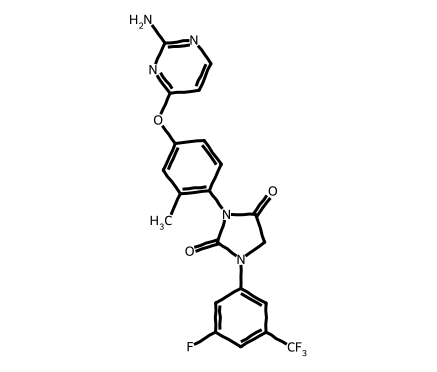 Cc1cc(Oc2ccnc(N)n2)ccc1N1C(=O)CN(c2cc(F)cc(C(F)(F)F)c2)C1=O